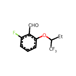 CCC(Oc1cccc(F)c1C=O)C(F)(F)F